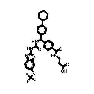 O=C(O)CCNC(=O)c1ccc(C(NC(=O)Nc2nc3ccc(SC(F)(F)F)cc3s2)c2ccc(C3CCCCC3)cc2)cc1